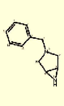 c1ccc(CN2CC3NC3C2)cc1